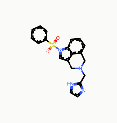 O=S(=O)(c1ccccc1)n1cc2c3c(cccc31)CN(Cc1ncc[nH]1)C2